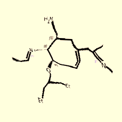 C/C=N/[C@@H]1[C@@H](N)CC(/C(C)=N/C)=C[C@H]1OC(CC)CC